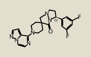 O=C1N2[C@H](c3cc(F)cc(F)c3)CCN2CC12CCN(c1nccn3nccc13)CC2